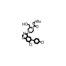 CCCCOC(=O)N1CCN(c2ncnc3cc(Cl)c(-c4ccc(Cl)cc4)cc23)CC1CO